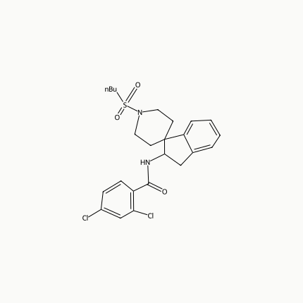 CCCCS(=O)(=O)N1CCC2(CC1)c1ccccc1CC2NC(=O)c1ccc(Cl)cc1Cl